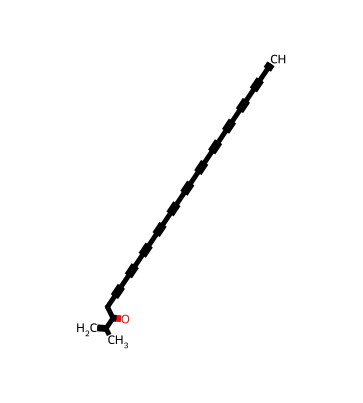 C#CC#CC#CC#CC#CC#CC#CC#CC#CC#CC#CC#CCC(=O)C(=C)C